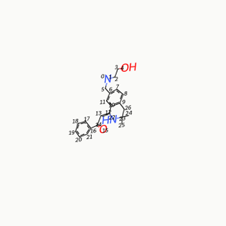 CN(CCO)Cc1ccc2c(c1)C(=CC(=O)c1ccccc1)NC(C)(C)C2